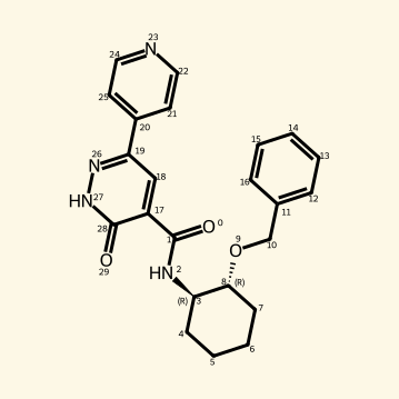 O=C(N[C@@H]1CCCC[C@H]1OCc1ccccc1)c1cc(-c2ccncc2)n[nH]c1=O